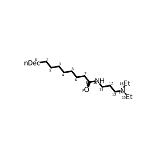 CCCCCCCCCCCCCCCCCC(=O)NCCCN(CC)CC